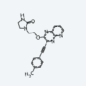 Cc1ccc(C#Cc2nc3ncccc3nc2OCCN2CCNC2=O)cc1